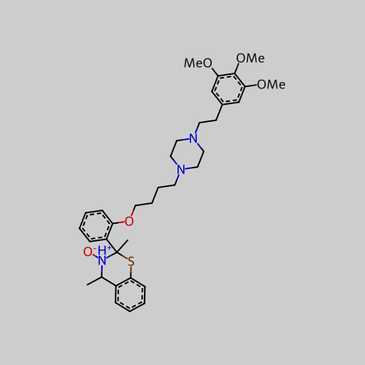 COc1cc(CCN2CCN(CCCCOc3ccccc3C3(C)Sc4ccccc4C(C)[NH+]3[O-])CC2)cc(OC)c1OC